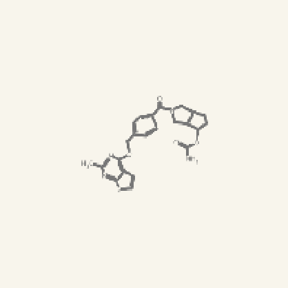 Cc1nc(OCc2ccc(C(=O)N3CC4CCC(OC(N)=O)C4C3)cc2)c2ccsc2n1